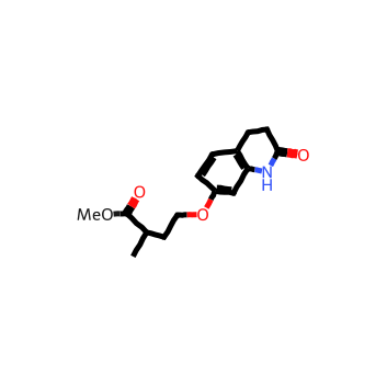 COC(=O)C(C)CCOc1ccc2c(c1)NC(=O)CC2